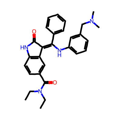 CCN(CC)C(=O)c1ccc2c(c1)C(=C(Nc1cccc(CN(C)C)c1)c1ccccc1)C(=O)N2